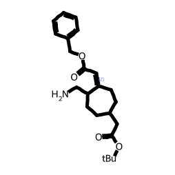 CC(C)(C)OC(=O)CC1CC/C(=C/C(=O)OCc2ccccc2)C(CN)CC1